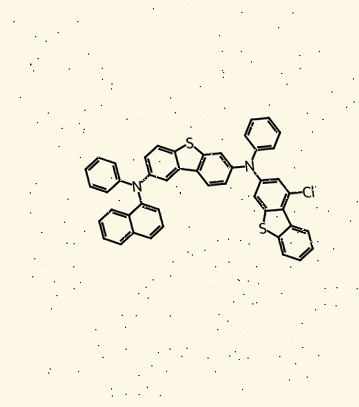 Clc1cc(N(c2ccccc2)c2ccc3c(c2)sc2ccc(N(c4ccccc4)c4cccc5ccccc45)cc23)cc2sc3ccccc3c12